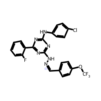 Fc1ccccc1-c1nc(N/N=C\c2ccc(OC(F)(F)F)cc2)nc(Nc2ccc(Cl)cc2)n1